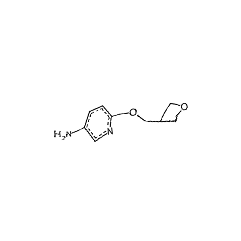 Nc1ccc(OCC2COC2)nc1